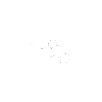 COC(=O)c1c(C(F)(F)F)oc2c1C(=O)c1ccccc1C2=O